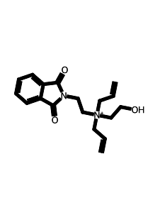 C=CC[N+](CC=C)(CCO)CCN1C(=O)c2ccccc2C1=O